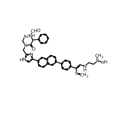 C=N/C(=C\NCCN(C)CCC)c1ccc(-c2ccc3cc(-c4c[nH]c(CN(CC(C)=O)C(=O)C(NC=O)c5ccccc5)n4)ccc3c2)cc1